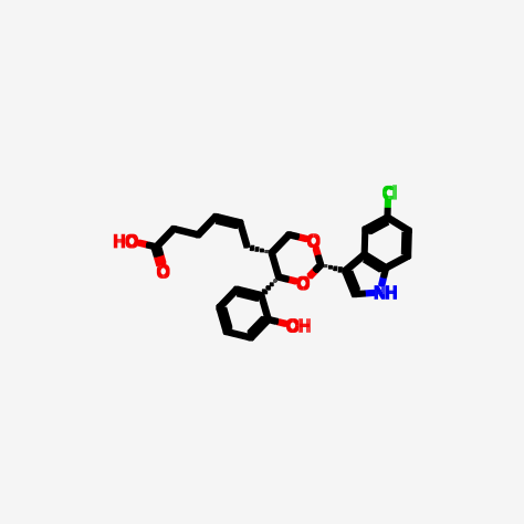 O=C(O)CC/C=C\C[C@@H]1CO[C@H](c2c[nH]c3ccc(Cl)cc23)O[C@@H]1c1ccccc1O